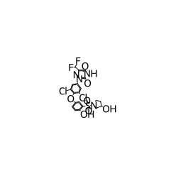 O=c1[nH]c(=O)n(-c2cc(Cl)c(Oc3ccc(O)c(S(=O)(=O)N4CC[C@@H](O)C4)c3)c(Cl)c2)nc1C(F)F